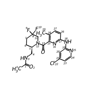 CC(=O)NC[C@H]1CCC(F)(F)CN1C(=O)c1nc(Nc2cc(Cl)ccn2)ccc1C